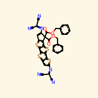 N#CC(C#N)=NC1=Cc2sc3c(sc4c5sc(N=C(C#N)C#N)cc5sc34)c2C1(C(=O)OCc1ccccc1)C(=O)OCc1ccccc1